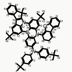 CC(C)(C)C1=CCC(N(c2ccc(C(C)(C)C)cc2)c2ccc3c(c2)N(C2=c4oc5ccccc5c4=CCC2)c2cc(C(C)(C)C)cc4c2B3c2cc(C(C)(C)C)cc3c5c(n-4c23)C(C)(C)c2ccccc2-5)C=C1